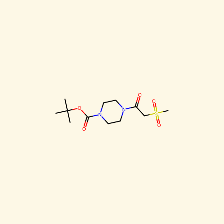 CC(C)(C)OC(=O)N1CCN(C(=O)CS(C)(=O)=O)CC1